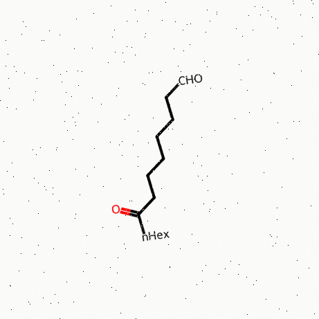 CCCCCCC(=O)CCCCCCC=O